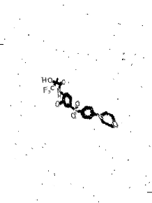 CC(O)(C(=O)Nc1ccc(S(=O)(=O)c2ccc(N3CCOCC3)cc2)cc1Cl)C(F)(F)F